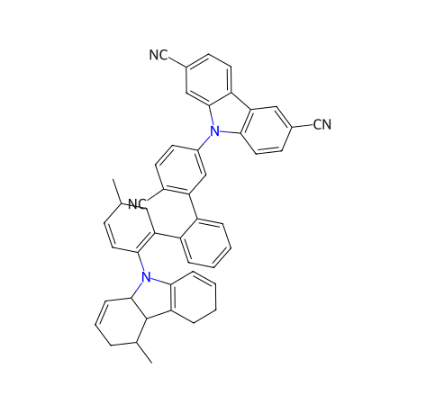 CC1C=CC(N2C3=C(CCC=C3)C3C(C)CC=CC32)=C(c2ccccc2-c2cc(-n3c4ccc(C#N)cc4c4ccc(C#N)cc43)ccc2C#N)C1